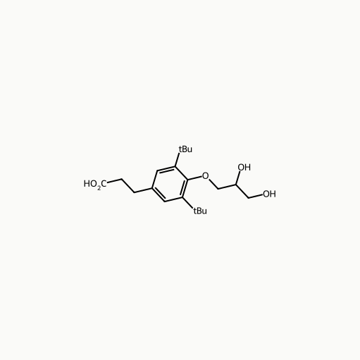 CC(C)(C)c1cc(CCC(=O)O)cc(C(C)(C)C)c1OCC(O)CO